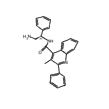 Cc1c(-c2ccccc2)nc2ccccc2c1C(=O)N[C@@H](CN)c1ccccc1